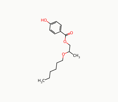 CCCCCCOC(C)COC(=O)c1ccc(O)cc1